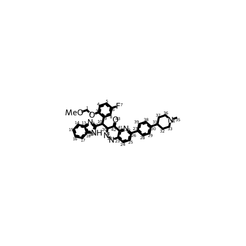 COCOc1ccc(F)cc1C(c1nc2ccccc2[nH]1)C1N=Nc2ccc(-c3ccc(C4CCN(C)CC4)cc3)nc2C1=O